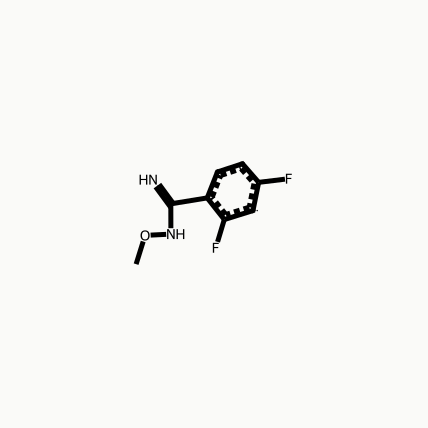 CONC(=N)c1ccc(F)[c]c1F